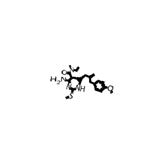 C=C(CC1=C2C1NC(SC)N=C(N)C2C(=O)N(C)CC)Cc1ccc(OC)cc1